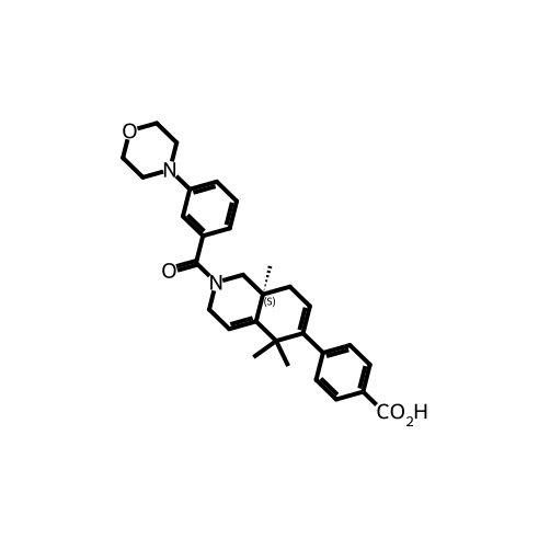 CC1(C)C(c2ccc(C(=O)O)cc2)=CC[C@]2(C)CN(C(=O)c3cccc(N4CCOCC4)c3)CC=C12